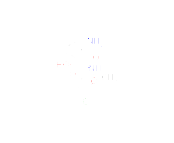 CC(=O)N[C@]12C(=O)c3c(N)cccc3[C@@]1(O)Oc1cc(Cl)ccc12